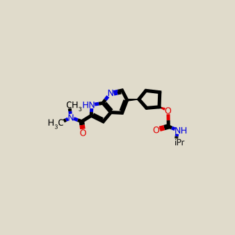 CC(C)NC(=O)O[C@@H]1CC[C@H](c2cnc3[nH]c(C(=O)N(C)C)cc3c2)C1